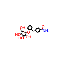 NC(=O)c1ccc(Cc2ccccc2O[C@@H]2S[C@H](CO)[C@@H](O)[C@H](O)[C@H]2O)cc1